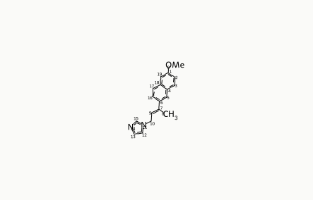 COc1ccc2cc(/C(C)=C/Cn3ccnc3)ccc2c1